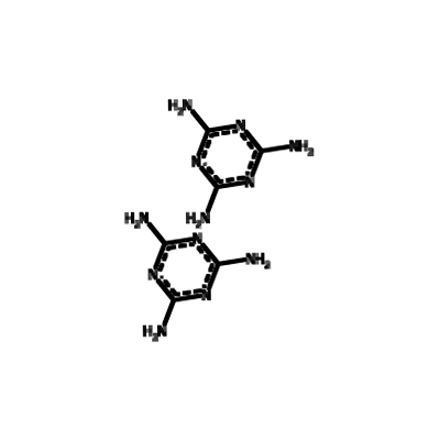 Nc1nc(N)nc(N)n1.Nc1nc(N)nc(N)n1